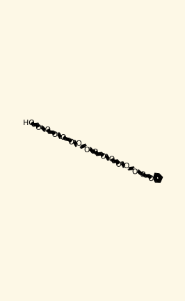 OCCOCCOCCOCCOCCOCCOCCOCCOCCOCCOCCOCCOCCOCCOCCOc1ccccc1